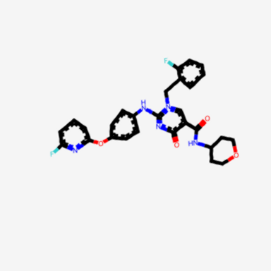 O=C(NC1CCOCC1)c1cn(Cc2ccccc2F)c(Nc2ccc(Oc3cccc(F)n3)cc2)nc1=O